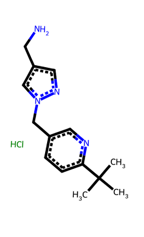 CC(C)(C)c1ccc(Cn2cc(CN)cn2)cn1.Cl